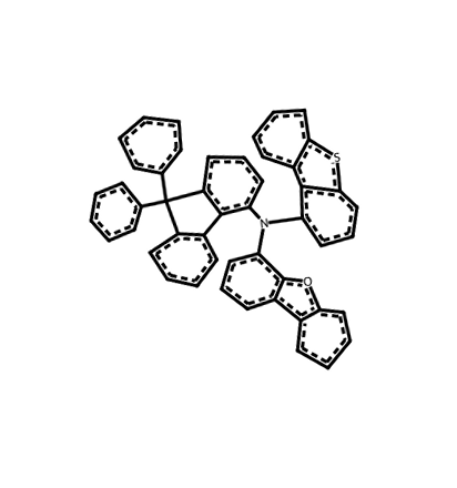 c1ccc(C2(c3ccccc3)c3ccccc3-c3c(N(c4cccc5c4oc4ccccc45)c4cccc5sc6ccccc6c45)cccc32)cc1